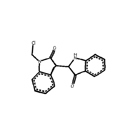 O=C1c2ccccc2NC1C1C(=O)N(CCl)c2ccccc21